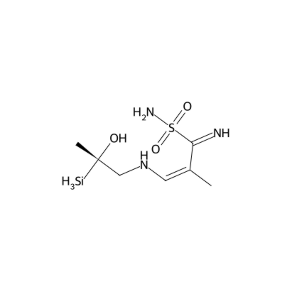 C/C(=C/NC[C@@](C)(O)[SiH3])C(=N)S(N)(=O)=O